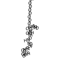 CC[C@@]1(O)C(=O)OCc2c1cc1n(c2=O)Cc2cc3c4c(c(F)cc3nc2-1)OCN(CCNC(=O)CCCNC(=O)C(CCC(=O)NCCOCCOCCOCCOCCOCCOCCOCCOC)NC(=O)CCCN1C(=O)C=CC1=O)C4